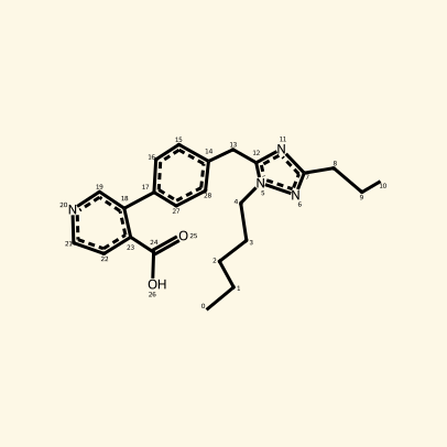 CCCCCn1nc(CCC)nc1Cc1ccc(-c2cnccc2C(=O)O)cc1